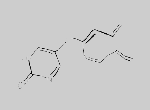 C=C/C=C\C(=C/C=C)Oc1cnc(=O)[nH]c1